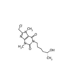 C[C@@H](O)CCCCn1c(=O)c2c(nc(CCl)n2C)n(C)c1=O